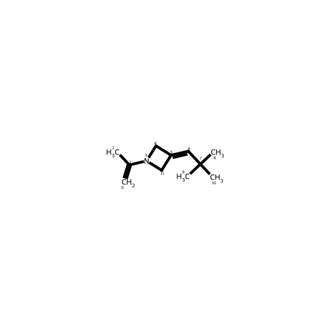 C=C(C)N1CC(=CC(C)(C)C)C1